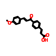 COc1ccc(C=CC(=O)c2ccc(C=CC(=O)O)cc2)cc1